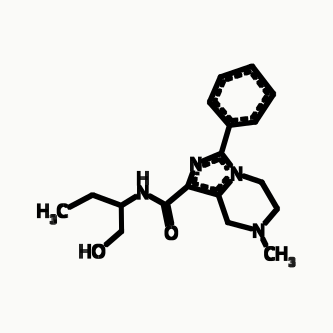 CCC(CO)NC(=O)c1nc(-c2ccccc2)n2c1CN(C)CC2